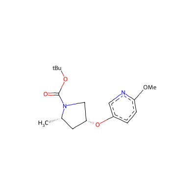 COc1ccc(O[C@@H]2C[C@H](C)N(C(=O)OC(C)(C)C)C2)cn1